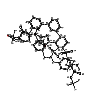 COc1ccc(CN(Cc2ccc(OC)cc2)S(=O)(=O)c2c(S(=O)(=O)C3CN(C(=O)OC(C)(C)C)C3)ccc(-c3ccnc(-c4ccnc(NC(=O)OC(C)(C)C)c4)c3)c2-c2nnn(Cc3ccc(OC)cc3)n2)cc1